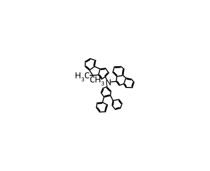 CC1(C)c2ccccc2-c2ccc(N(c3ccc(-c4ccccc4)c(-c4ccccc4)c3)c3cc4ccccc4c4ccccc34)cc21